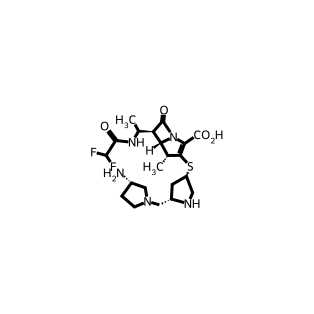 CC(NC(=O)C(F)F)[C@H]1C(=O)N2C(C(=O)O)=C(S[C@@H]3CN[C@H](CN4CC[C@H](N)C4)C3)[C@H](C)[C@H]12